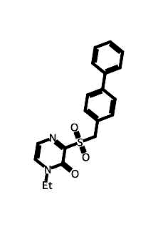 CCn1ccnc(S(=O)(=O)Cc2ccc(-c3ccccc3)cc2)c1=O